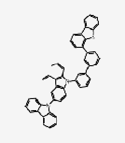 C=Cc1c(/C=C\C)n(-c2cccc(-c3cccc(-c4cccc5c4sc4ccccc45)c3)c2)c2ccc(-n3c4ccccc4c4ccccc43)cc12